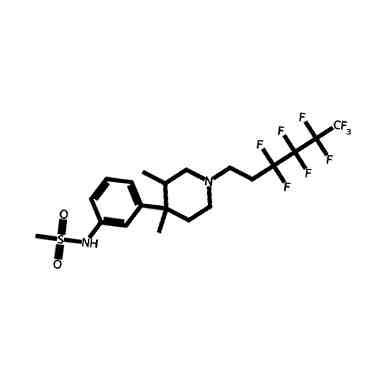 CC1CN(CCC(F)(F)C(F)(F)C(F)(F)C(F)(F)F)CCC1(C)c1cccc(NS(C)(=O)=O)c1